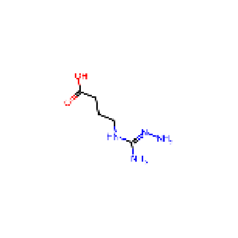 NN=C(N)NCCCC(=O)O